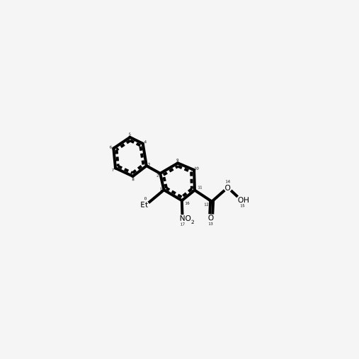 CCc1c(-c2ccccc2)ccc(C(=O)OO)c1[N+](=O)[O-]